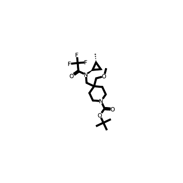 COCC1(CN(C(=O)C(F)(F)F)[C@@H]2C[C@H]2C)CCN(C(=O)OC(C)(C)C)CC1